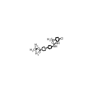 COc1ccc(Cl)cc1NC(=O)Nc1ccc(N2CCN(C(=O)OC(C)(C)C)CC2)cc1